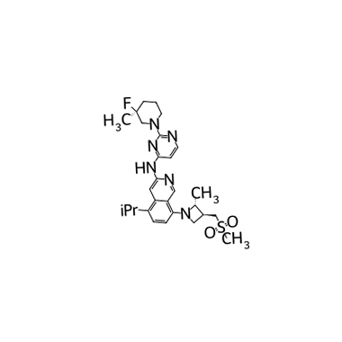 CC(C)c1ccc(N2C[C@H](CS(C)(=O)=O)[C@H]2C)c2cnc(Nc3ccnc(N4CCC[C@](C)(F)C4)n3)cc12